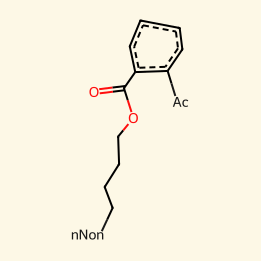 CCCCCCCCCCCCCOC(=O)c1ccccc1C(C)=O